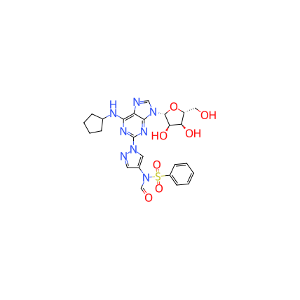 O=CN(c1cnn(-c2nc(NC3CCCC3)c3ncn([C@@H]4O[C@H](CO)[C@@H](O)[C@H]4O)c3n2)c1)S(=O)(=O)c1ccccc1